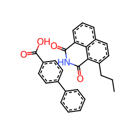 CCCc1ccc2cccc3c2c1C(=O)NC3=O.O=C(O)c1ccc(-c2ccccc2)cc1